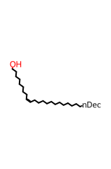 CCCCCCCCCCCCCCCCCCCCCC/C=C\CCCCCCCCO